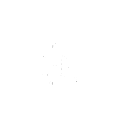 CC(C)(CCl)/C(CF)=N\O